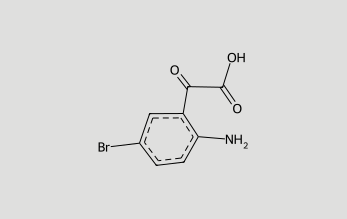 Nc1ccc(Br)cc1C(=O)C(=O)O